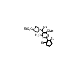 CCCC(c1c(C)nc(-c2c(CC)cccc2CC)nc1OC)N1CCN(C(=O)OCC)CC1